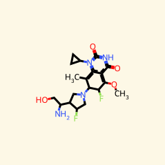 COC1=c2c(=O)[nH]c(=O)n(C3CC3)c2=C(C)C(N2CC(F)C(C(N)CO)C2)C1F